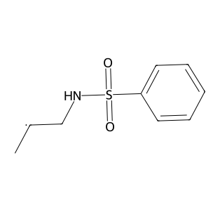 C[CH]CNS(=O)(=O)c1ccccc1